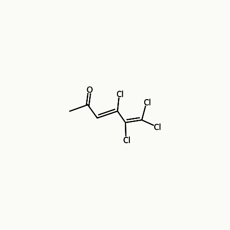 CC(=O)C=C(Cl)C(Cl)=C(Cl)Cl